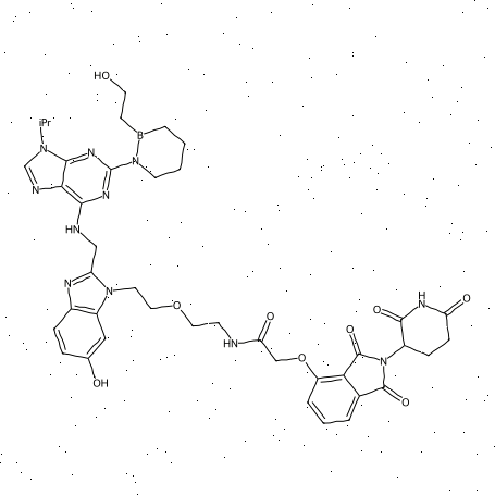 CC(C)n1cnc2c(NCc3nc4ccc(O)cc4n3CCOCCNC(=O)COc3cccc4c3C(=O)N(C3CCC(=O)NC3=O)C4=O)nc(N3CCCCB3CCO)nc21